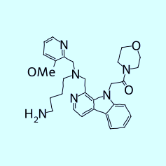 COc1cccnc1CN(CCCCN)Cc1nccc2c3ccccc3n(CC(=O)N3CCOCC3)c12